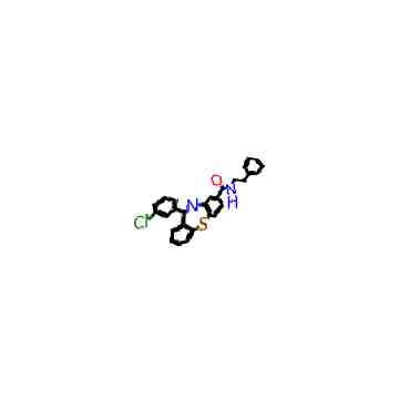 O=C(NCCc1ccccc1)c1ccc2c(c1)N=C(c1cccc(Cl)c1)c1ccccc1S2